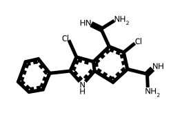 N=C(N)c1cc2[nH]c(-c3ccccc3)c(Cl)c2c(C(=N)N)c1Cl